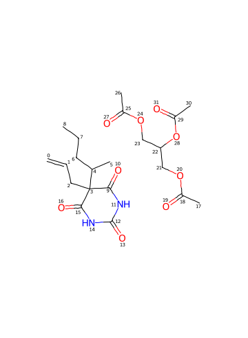 C=CCC1(C(C)CCC)C(=O)NC(=O)NC1=O.CC(=O)OCC(COC(C)=O)OC(C)=O